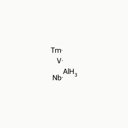 [AlH3].[Nb].[Tm].[V]